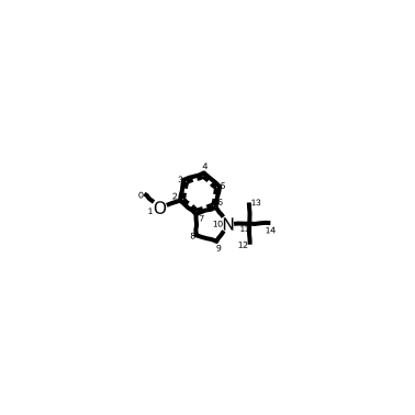 COc1cccc2c1CCN2C(C)(C)C